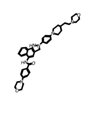 O=C(Nc1cc2c(c3ccccc13)NN(c1ccc(N3CCC(CCN4CCOCC4)CC3)cc1)C2)c1ccc(N2CCOCC2)cc1